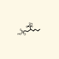 [CH2]CCCC(CCS(=O)(=O)O)S(=O)(=O)O